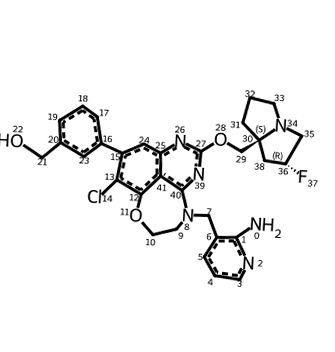 Nc1ncccc1CN1CCOc2c(Cl)c(-c3cccc(CO)c3)cc3nc(OC[C@@]45CCCN4C[C@H](F)C5)nc1c23